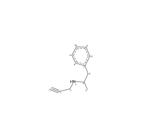 C#CCNC(C)Cc1ccccc1